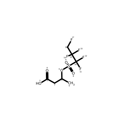 CC(CC(=O)O)OS(=O)(=O)C(F)(F)C(F)(F)CF